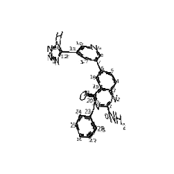 Nc1nc2ccc(-c3cncc(-c4nnn[nH]4)c3)cc2c(=O)n1-c1ccccc1